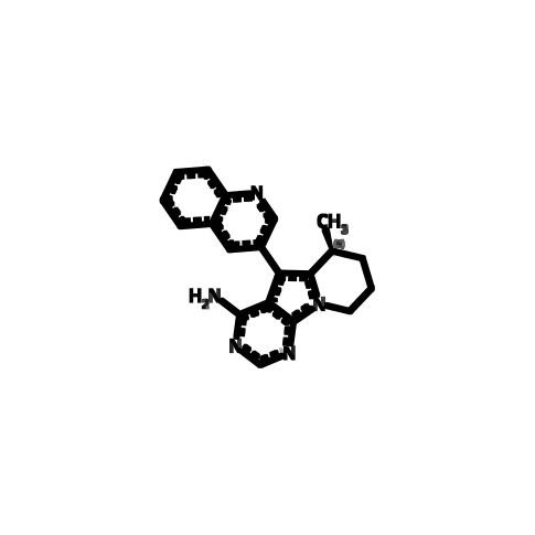 C[C@H]1CCCn2c1c(-c1cnc3ccccc3c1)c1c(N)ncnc12